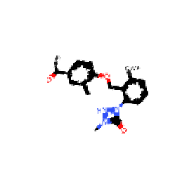 COc1cccc(-n2[nH]n(C)c2=O)c1COc1ccc(C(=O)C(C)C)cc1C